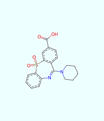 O=C(O)c1ccc2c(c1)S(=O)(=O)c1ccccc1N=C2N1CCCCC1